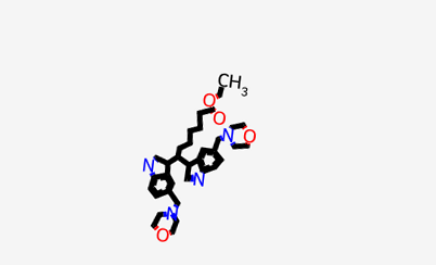 CCOC(=O)CCCCCC(C1C=Nc2ccc(CN3CCOCC3)cc21)C1C=Nc2ccc(CN3CCOCC3)cc21